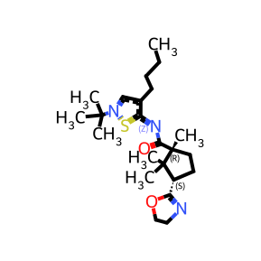 CCCCc1cn(C(C)(C)C)s/c1=N\C(=O)[C@]1(C)CC[C@H](C2=NCCO2)C1(C)C